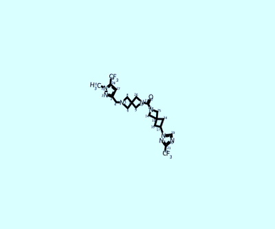 Cn1nc(CN2CC3(C2)CN(C(=O)N2CC4(CC(n5cnc(C(F)(F)F)n5)C4)C2)C3)cc1C(F)(F)F